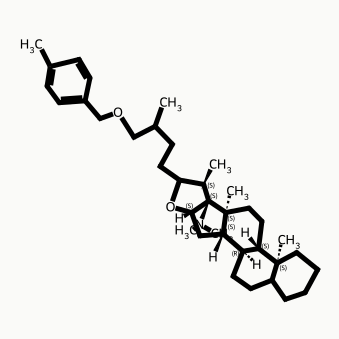 Cc1ccc(COCC(C)CCC2O[C@H]3C[C@H]4[C@@H]5CCC6CCCC[C@]6(C)[C@H]5CC[C@]4(C)[C@@]3(N(C)C)[C@@H]2C)cc1